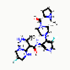 CN1CC(F)CNC1C(C(=O)Nc1cncc(F)c1N1CCN(C(=O)[C@@H]2CCCN2C)CC1)C(N)N=O